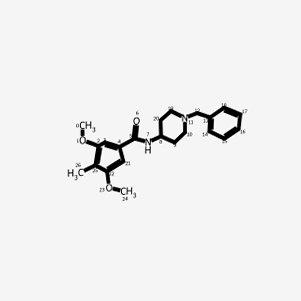 COc1cc(C(=O)NC2CCN(Cc3ccccc3)CC2)cc(OC)c1C